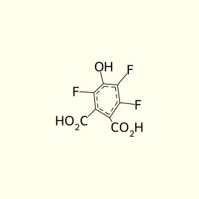 O=C(O)c1c(F)c(O)c(F)c(F)c1C(=O)O